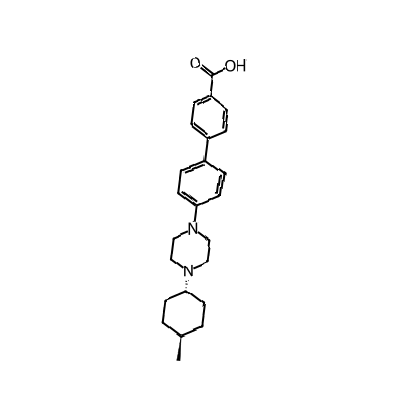 C[C@H]1CC[C@H](N2CCN(c3ccc(-c4ccc(C(=O)O)cc4)cc3)CC2)CC1